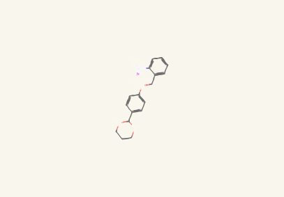 O=[N+]([O-])c1ccccc1COc1ccc(C2OCCCO2)cc1